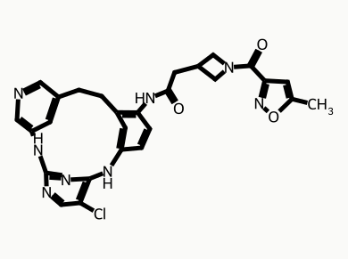 Cc1cc(C(=O)N2CC(CC(=O)Nc3ccc4cc3CCc3cncc(c3)Nc3ncc(Cl)c(n3)N4)C2)no1